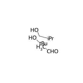 CC(C)(C)O.CC(C)CO.CC=O